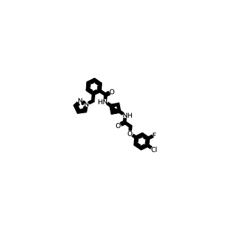 O=C(COc1ccc(Cl)c(F)c1)NC12CC(NC(=O)c3ccccc3Cn3cccn3)(C1)C2